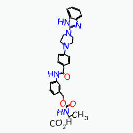 C[C@H](NC(=O)OCc1cccc(NC(=O)c2ccc(N3CCN(c4nc5ccccc5[nH]4)CC3)cc2)c1)C(=O)O